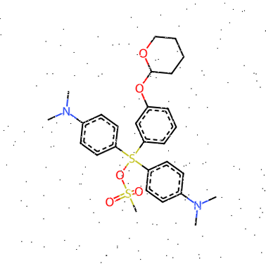 CN(C)c1ccc(S(OS(C)(=O)=O)(c2ccc(N(C)C)cc2)c2cccc(OC3CCCCO3)c2)cc1